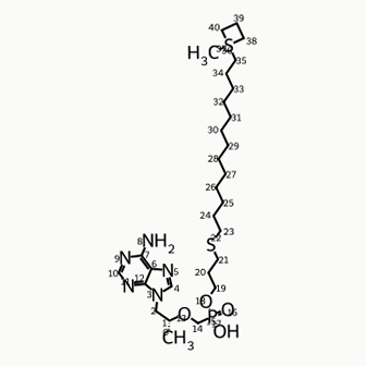 C[C@H](Cn1cnc2c(N)ncnc21)OCP(=O)(O)OCCCSCCCCCCCCCCCCCS1(C)CCC1